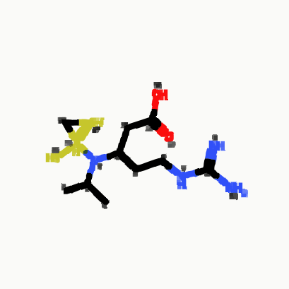 CC(C)N(C(CCNC(=N)N)CC(=O)O)[SH]1(S)=[SH]C1